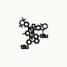 Cc1cc2c3c(c1)N(c1ccc4c(c1)C(C)(C)CCC4(C)C)c1oc4cc5c(cc4c1B3c1cc(C(C)(C)C)ccc1N2c1ccc(C(C)(C)C)cc1-c1ccccc1)C(C)C1CCCC5(C)C1